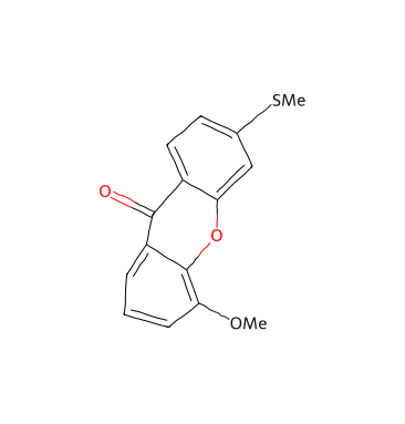 COc1cccc2c(=O)c3ccc(SC)cc3oc12